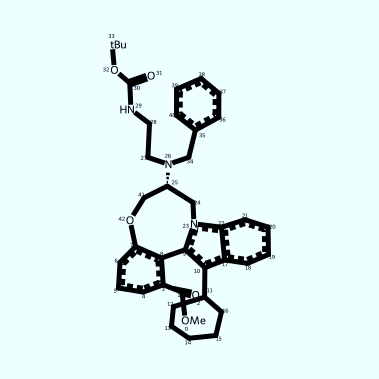 COC(=O)c1cccc2c1-c1c(C3CCCCC3)c3ccccc3n1C[C@@H](N(CCNC(=O)OC(C)(C)C)Cc1ccccc1)CO2